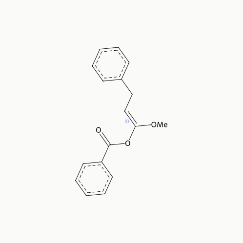 CO/C(=C\Cc1ccccc1)OC(=O)c1ccccc1